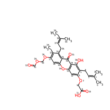 CC(C)=CCc1c(OCC(=O)O)cc2oc3cc(OCOC=O)c(C)c(CC=C(C)C)c3c(=O)c2c1O